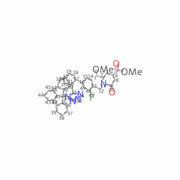 COCc1cc(C(=O)OC)cc(=O)n1Cc1ccc(-c2ccccc2-c2nnnn2C(c2ccccc2)(c2ccccc2)c2ccccc2)cc1F